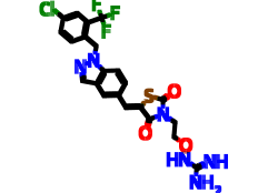 N=C(N)NOCCN1C(=O)S/C(=C\c2ccc3c(cnn3Cc3ccc(Cl)cc3C(F)(F)F)c2)C1=O